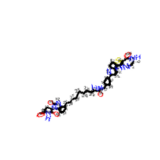 C[C@@H]1CNc2c(sc3ccc4nc(-c5ccc(CNC(=O)CCCCCCCCCc6cccc7c6n(C)c(=O)n7C6CCC(=O)NC6=O)cc5)ccc4c23)C(=O)N1